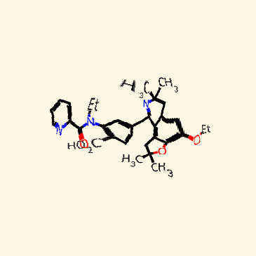 CCOc1cc2c(c3c1OC(C)(C)C3)C(c1ccc(C(=O)O)c(N(CC)C(=O)c3ccccn3)c1)=NC(C)(C)C2